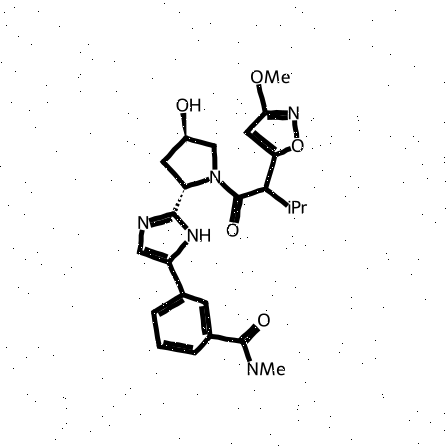 CNC(=O)c1cccc(-c2cnc([C@@H]3C[C@@H](O)CN3C(=O)C(c3cc(OC)no3)C(C)C)[nH]2)c1